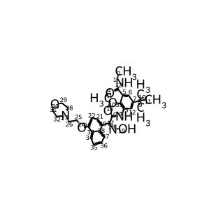 CCNC(=O)c1cc(C(C)(C)C)cc(NC(=O)C(=NO)c2ccc(OCCN3CCOCC3)c3ccccc23)c1OC